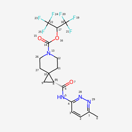 Cc1ccc(NC(=O)[C@@H]2CC23CCN(C(=O)OC(C(F)(F)F)C(F)(F)F)CC3)nn1